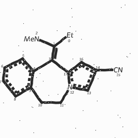 CC/C(NC)=C1/c2ccccc2CCn2cc(C#N)cc21